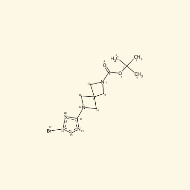 CC(C)(C)OC(=O)N1CC2(C1)CN(c1ncc(Br)s1)C2